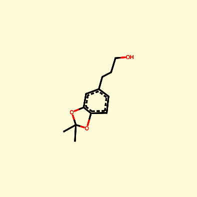 CC1(C)Oc2ccc(CCCO)cc2O1